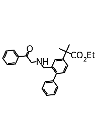 CCOC(=O)C(C)(C)c1ccc(-c2ccccc2)c(CNCC(=O)c2ccccc2)c1